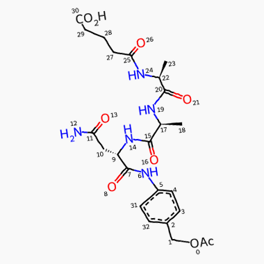 CC(=O)OCc1ccc(NC(=O)[C@H](CC(N)=O)NC(=O)[C@H](C)NC(=O)[C@H](C)NC(=O)CCCC(=O)O)cc1